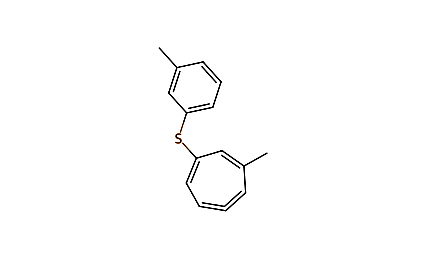 CC1=CC(Sc2cccc(C)c2)=CC=C=C1